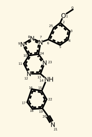 COc1cccc(-n2nnc3cnc(Nc4cccc(C#N)c4)nc32)c1